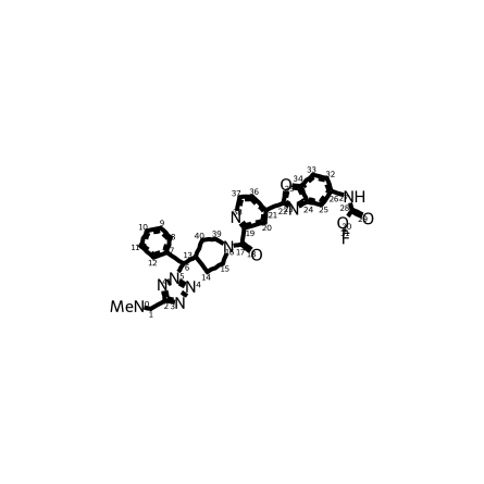 CNCc1nnn(C(c2ccccc2)C2CCN(C(=O)c3cc(-c4nc5cc(NC(=O)OF)ccc5o4)ccn3)CC2)n1